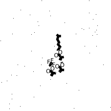 C=C(C)C(=O)OC.C=C(C)C(=O)OCC(F)(F)F.C=C(C)C(=O)OCCCCCC(C)C